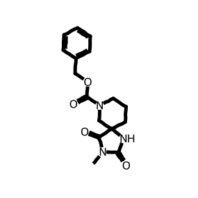 CN1C(=O)NC2(CCCN(C(=O)OCc3ccccc3)C2)C1=O